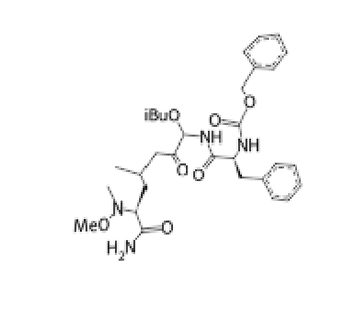 CON(C)[C@@H](CC(C)CC(=O)C(NC(=O)[C@H](Cc1ccccc1)NC(=O)OCc1ccccc1)OCC(C)C)C(N)=O